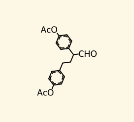 CC(=O)Oc1ccc(CCC(C=O)c2ccc(OC(C)=O)cc2)cc1